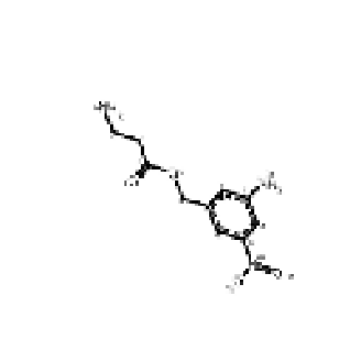 NCCC(=O)OCc1cc(N)cc([N+](=O)[O-])c1